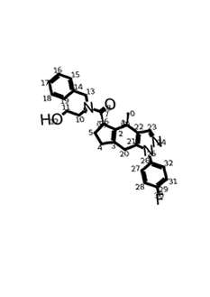 C[C@@H]1C2=C(CC[C@H]2C(=O)N(CCO)Cc2ccccc2)Cc2c1cnn2-c1ccc(F)cc1